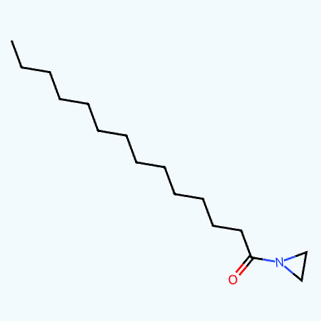 CCCCCCCCCCCCCC(=O)N1CC1